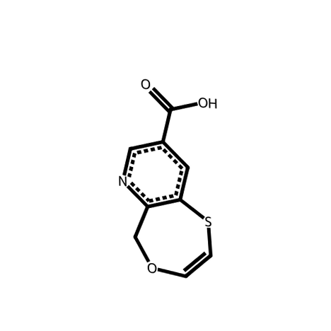 O=C(O)c1cnc2c(c1)SC=COC2